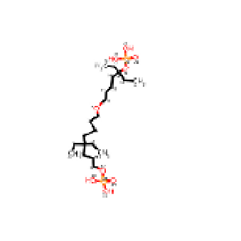 CCC(CC)(CCCCOCCCCC(CC)(CC)OP(=O)(O)O)CCCOP(=O)(O)O